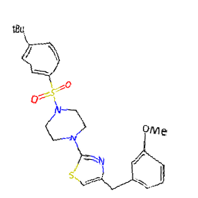 COc1cccc(Cc2csc(N3CCN(S(=O)(=O)c4ccc(C(C)(C)C)cc4)CC3)n2)c1